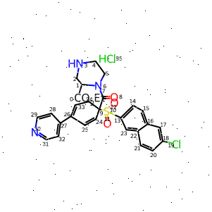 CCOC(=O)C1CNCCN1C(=O)C1(S(=O)(=O)c2ccc3cc(Cl)ccc3c2)C=CC(c2ccncc2)=CC1.Cl